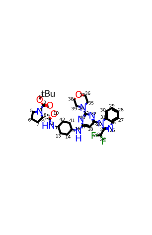 CC(C)(C)OC(=O)N1CCC[C@H]1C(=O)N[C@H]1CC[C@H](Nc2cc(-n3c(C(F)F)nc4ccccc43)nc(N3CCOCC3)n2)CC1